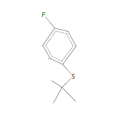 CC(C)(C)Sc1[c]cc(F)cc1